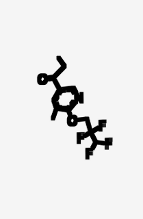 CCC(=O)c1cnc(OCC(F)(F)C(F)F)c(C)c1